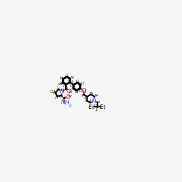 CCC(F)(CC)CN1CCC(COc2ccc(-c3cccc(F)c3C(=O)N3C[C@@H](F)C[C@H]3C(N)=O)cc2)CC1